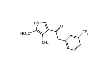 Cc1c(C(=O)Cc2cccc(C(F)(F)F)c2)c[nH]c1C(=O)O